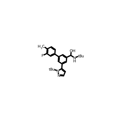 Cc1ccc(-c2cc(-c3ccnn3C(C)(C)C)cc(C(O)NC(C)(C)C)c2)cc1F